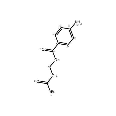 CC(C)(C)C(=O)OCOC(=O)c1ccc(N)cc1